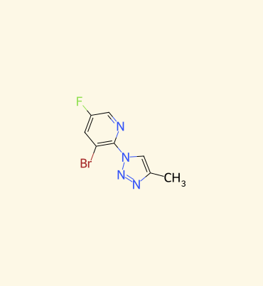 Cc1cn(-c2ncc(F)cc2Br)nn1